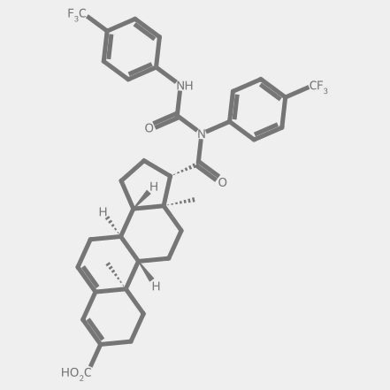 C[C@]12CC[C@H]3[C@@H](CC=C4C=C(C(=O)O)CC[C@@]43C)[C@@H]1CC[C@@H]2C(=O)N(C(=O)Nc1ccc(C(F)(F)F)cc1)c1ccc(C(F)(F)F)cc1